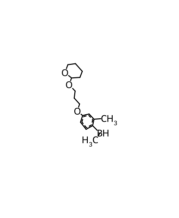 CBc1ccc(OCCCOC2CCCCO2)cc1C